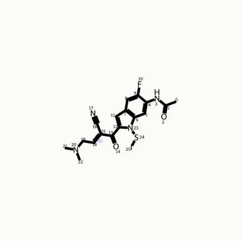 CC(=O)Nc1cc2c(cc1F)cc(C(=O)/C(C#N)=C/CN(C)C)n2SI